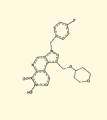 O=c1c2ncc3c(c(COC4CCOCC4)cn3Cc3ccc(F)cc3)c2ccn1O